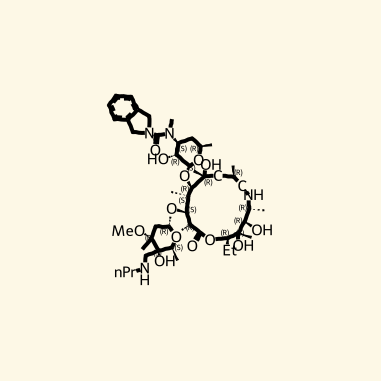 CCCNC[C@]1(O)[C@H](C)O[C@@H](O[C@H]2[C@H](C)[C@@H](O[C@@H]3O[C@H](C)C[C@H](N(C)C(=O)N4Cc5ccccc5C4)[C@H]3O)[C@](C)(O)C[C@@H](C)CN[C@H](C)[C@@H](O)[C@](C)(O)[C@@H](CC)OC(=O)[C@@H]2C)C[C@@]1(C)OC